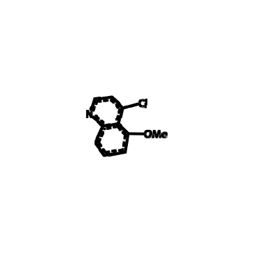 COc1cccc2nccc(Cl)c12